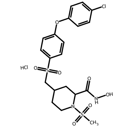 CS(=O)(=O)N1CCC(CS(=O)(=O)c2ccc(Oc3ccc(Cl)cc3)cc2)CC1C(=O)NO.Cl